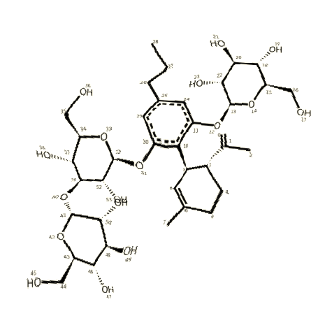 C=C(C)[C@@H]1CCC(C)=C[C@H]1c1c(O[C@@H]2O[C@H](CO)[C@@H](O)[C@H](O)[C@H]2O)cc(CCC)cc1O[C@@H]1O[C@H](CO)[C@@H](O)[C@H](O[C@H]2O[C@H](CO)[C@@H](O)[C@H](O)[C@H]2O)[C@H]1O